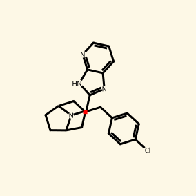 Clc1ccc(CC2CC3CCC(C2)N3Cc2nc3cccnc3[nH]2)cc1